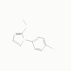 CSc1nccn1-c1ccc(N)cc1